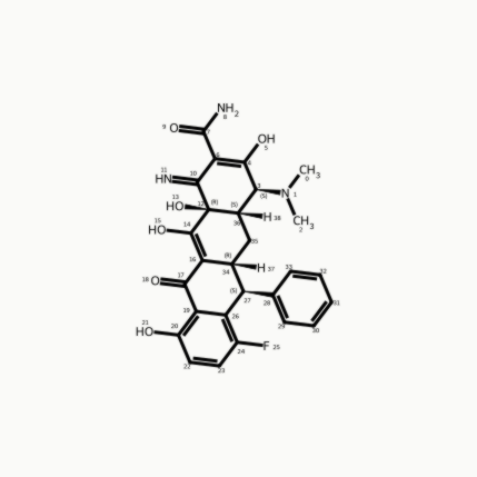 CN(C)[C@@H]1C(O)=C(C(N)=O)C(=N)[C@@]2(O)C(O)=C3C(=O)c4c(O)ccc(F)c4[C@H](c4ccccc4)[C@H]3C[C@@H]12